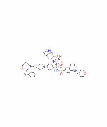 CC(C)c1ccccc1[C@@H]1COCCCN1C1CC2(CCN(c3ccc(C(=O)NS(=O)(=O)c4ccc(NCC5CCOCC5)c([N+](=O)[O-])c4)c(N4c5cc6cc[nH]c6nc5O[C@@H]5COC[C@H]54)c3)CC2)C1